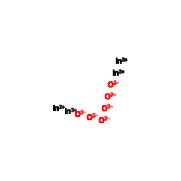 [In+3].[In+3].[In+3].[In+3].[O-2].[O-2].[O-2].[O-2].[O-2].[O-2]